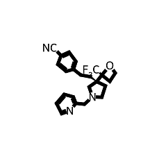 N#Cc1ccc(CC[C@@]2([C@@]3(C(F)(F)F)CCO3)CCN(Cc3ccccn3)C2)cc1